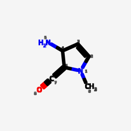 CN1C=CC(N)C1=C=O